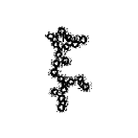 CC1(C)c2ccccc2-c2ccc(N(c3ccc(-c4ccc5c(oc6ccccc65)c4-c4ccc(-c5ccccc5)cc4)cc3)c3ccc4c5ccc(-c6cccc(-c7ccc(N(c8ccc(-c9cc%10sc%11ccccc%11c%10cc9-c9ccccc9)cc8)c8ccc(-c9cccc%10c9sc9ccccc9%10)cc8)cc7)c6)cc5c5ccccc5c4c3)cc21